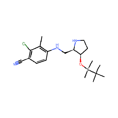 Cc1c(NC[C@H]2NCC[C@H]2O[Si](C)(C)C(C)(C)C)ccc(C#N)c1Cl